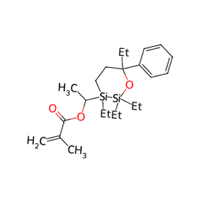 C=C(C)C(=O)OC(C)[Si]1(CC)CCC(CC)(c2ccccc2)O[Si]1(CC)CC